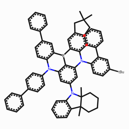 CC1(C)Cc2cc3c(cc2C1)N(c1ccc(C(C)(C)C)cc1-c1ccccc1)c1cc(N2c4ccccc4C4(C)CCCCC24C)cc2c1B3c1cc(-c3ccccc3)ccc1N2c1ccc(-c2ccccc2)cc1